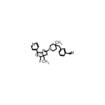 CCC1(C(F)F)CC(N2CCC(C)(Cc3cccc(C#N)c3)CC2)=NN1C(=O)c1ccncc1